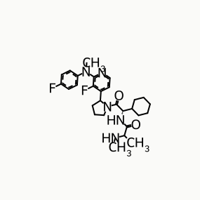 CNC(C)C(=O)N[C@H](C(=O)N1CCCC1c1ccnc(N(C)c2ccc(F)cc2)c1F)C1CCCCC1